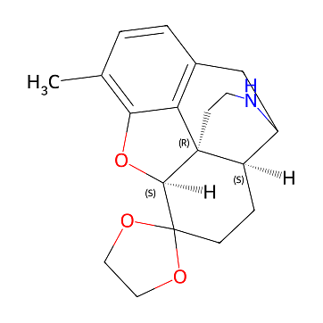 Cc1ccc2c3c1O[C@@H]1C4(CC[C@@H]5C(C2)NCC[C@]351)OCCO4